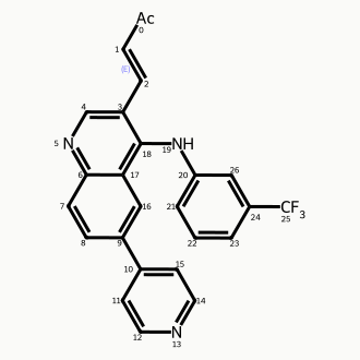 CC(=O)/C=C/c1cnc2ccc(-c3ccncc3)cc2c1Nc1cccc(C(F)(F)F)c1